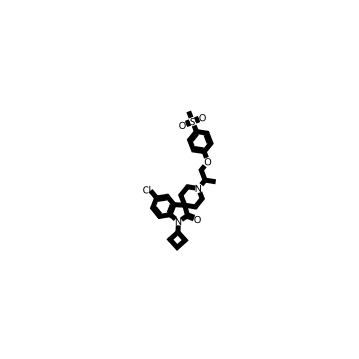 CC(COc1ccc(S(C)(=O)=O)cc1)N1CCC2(CC1)C(=O)N(C1CCC1)c1ccc(Cl)cc12